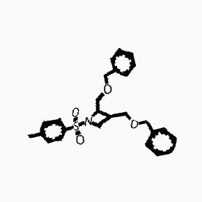 Cc1ccc(S(=O)(=O)N2CC(COCc3ccccc3)C2COCc2ccccc2)cc1